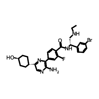 CCNC[C@@H](NC(=O)c1ccc(-c2nc([C@H]3CC[C@H](O)CC3)cnc2N)cc1F)c1cccc(Br)c1